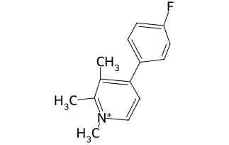 Cc1c(-c2ccc(F)cc2)cc[n+](C)c1C